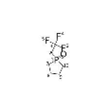 O=P1(CC(F)(F)F)CCCC1